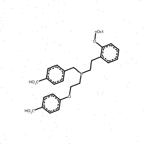 CCCCCCCCOc1ccccc1CCN(CCOc1ccc(C(=O)O)cc1)Cc1ccc(C(=O)O)cc1